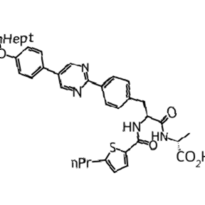 CCCCCCCOc1ccc(-c2cnc(-c3ccc(C[C@H](NC(=O)c4ccc(CCC)s4)C(=O)N[C@H](C)C(=O)O)cc3)nc2)cc1